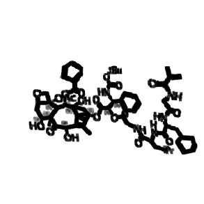 C=C(C)C(=O)NCC(=O)NC(Cc1ccccc1)C(=O)NC(CC(C)C)C(=O)NCC(=O)O[C@@H](C(=O)O[C@H]1C[C@@]2(O)[C@@H](OC(=O)c3ccccc3)C3[C@]4(OC(C)=O)COC4C[C@H](O)[C@@]3(C)C(=O)[C@H](O)C(=C1C)C2(C)C)[C@@H](NC(=O)OC(C)(C)C)c1ccccc1